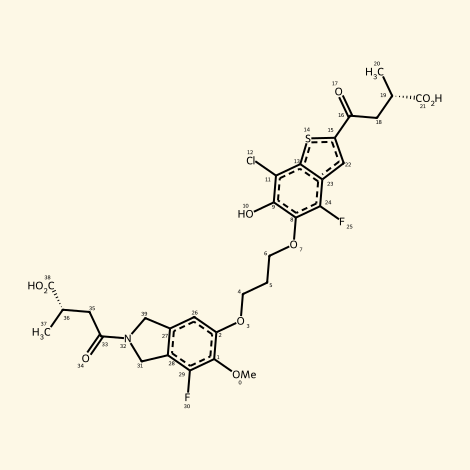 COc1c(OCCCOc2c(O)c(Cl)c3sc(C(=O)C[C@H](C)C(=O)O)cc3c2F)cc2c(c1F)CN(C(=O)C[C@H](C)C(=O)O)C2